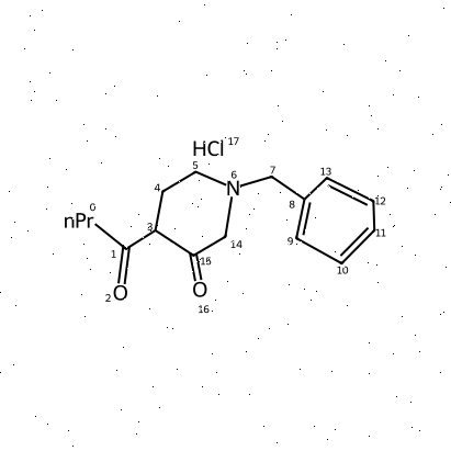 CCCC(=O)C1CCN(Cc2ccccc2)CC1=O.Cl